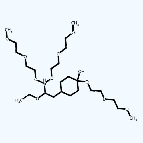 CCOC(CC1CCC(O)(OCCOCCOC)CC1)[SiH](OCCOCCOC)OCCOCCOC